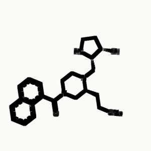 COCC[C@H]1CN(C(=O)c2cccc3ccccc23)CCN1C[C@@H]1NCC[C@@H]1S